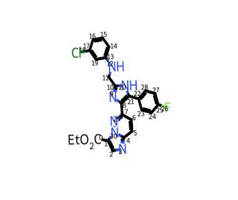 CCOC(=O)c1cnc2ccc(-c3nc(CNc4cccc(Cl)c4)[nH]c3-c3ccc(F)cc3)nn12